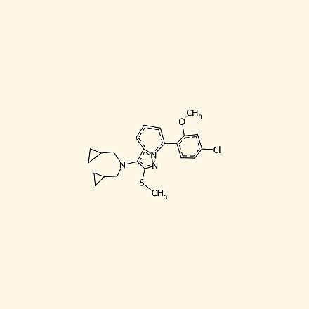 COc1cc(Cl)ccc1-c1cccc2c(N(CC3CC3)CC3CC3)c(SC)nn12